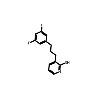 Fc1cc(F)cc(CCCc2cccnc2S)c1